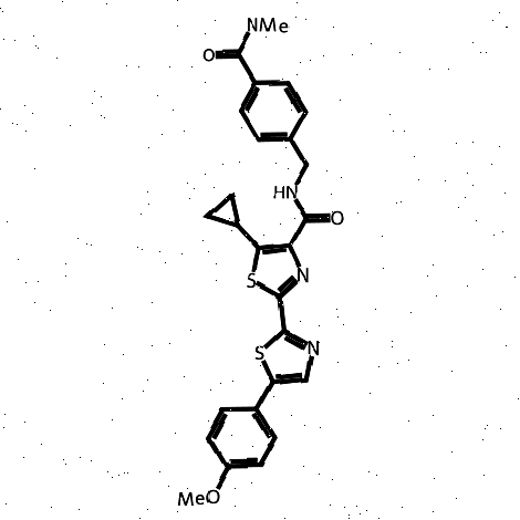 CNC(=O)c1ccc(CNC(=O)c2nc(-c3ncc(-c4ccc(OC)cc4)s3)sc2C2CC2)cc1